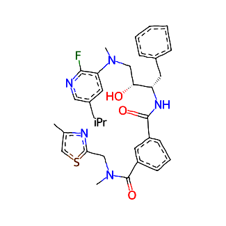 Cc1csc(CN(C)C(=O)c2cccc(C(=O)N[C@@H](Cc3ccccc3)[C@H](O)CN(C)c3cc(C(C)C)cnc3F)c2)n1